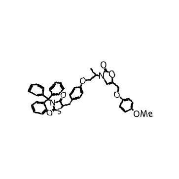 COc1ccc(OCC2CN(C(C)COc3ccc(CC4SC(=O)N(C(c5ccccc5)(c5ccccc5)c5ccccc5)C4=O)cc3)C(=O)O2)cc1